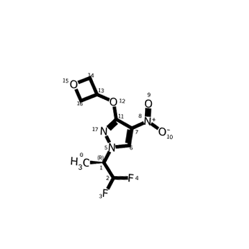 C[C@H](C(F)F)n1cc([N+](=O)[O-])c(OC2COC2)n1